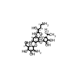 C=C(C)[C@H]1O[C@@H](OC2C(O)[C@H](NC(=O)[C@@H](O)CCN)CC(N)[C@H]2O[C@H]2OC(CO)[C@@H](O)C(O)C2N)C(O)C1O